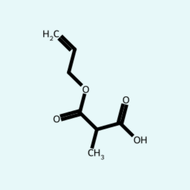 C=CCOC(=O)C(C)C(=O)O